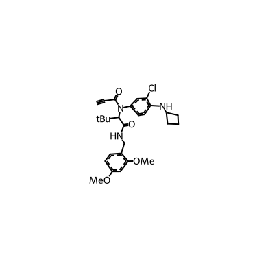 C#CC(=O)N(c1ccc(NC2CCC2)c(Cl)c1)C(C(=O)NCc1ccc(OC)cc1OC)C(C)(C)C